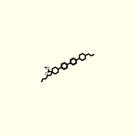 CCCCCC1(C(=O)OC)CCC(c2ccc(-c3ccc(C4CCC(CCC)CC4)cc3)cc2)CC1